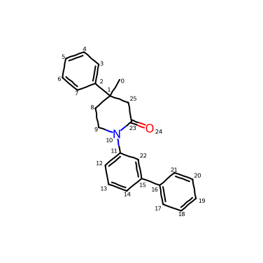 CC1(c2ccccc2)CCN(c2cccc(-c3ccccc3)c2)C(=O)C1